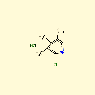 Cc1cnc(Cl)c(C)c1C.Cl